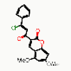 COc1cc(OC)c2cc(C(=O)C=C(Cl)c3ccccc3)c(=O)oc2c1